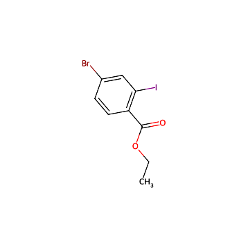 CCOC(=O)c1ccc(Br)cc1I